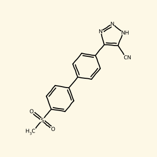 CS(=O)(=O)c1ccc(-c2ccc(-c3nn[nH]c3C#N)cc2)cc1